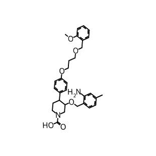 COc1ccccc1COCCCOc1ccc(C2CCN(C(=O)O)CC2OCc2ccc(C)cc2N)cc1